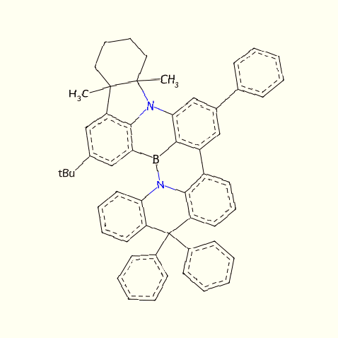 CC(C)(C)c1cc2c3c(c1)C1(C)CCCCC1(C)N3c1cc(-c3ccccc3)cc3c1B2N1c2ccccc2C(c2ccccc2)(c2ccccc2)c2cccc-3c21